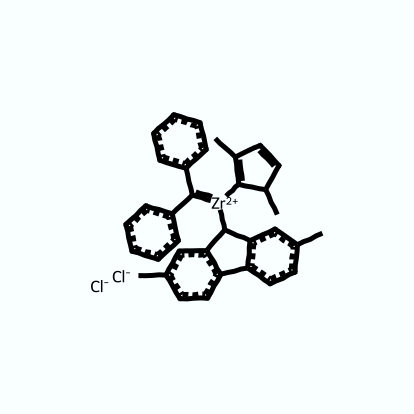 CC1=[C]([Zr+2](=[C](c2ccccc2)c2ccccc2)[CH]2c3cc(C)ccc3-c3ccc(C)cc32)C(C)C=C1.[Cl-].[Cl-]